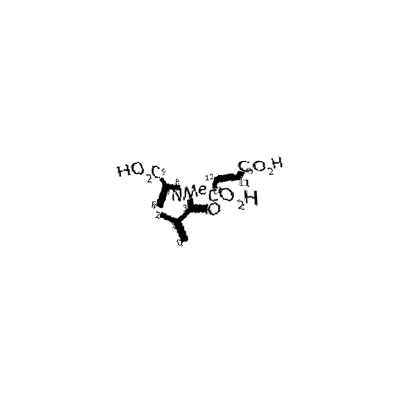 C=C(C)C(=O)NC.C=C(C)C(=O)O.O=C(O)C=CC(=O)O